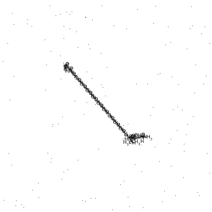 CC(C)C(NC(=O)CCOCCOCCOCCOCCOCCOCCOCCOCCOCCOCCOCCOCCOCCOCCOCCOCCOCCOCCOCCOCCNC(=O)CCN1C(=O)C=CC1=O)C(=O)N[C@@H](CCCCNC(N)=O)C(=O)O